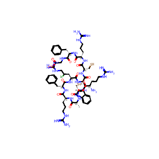 C[C@@H](NC(=O)[C@H](CS)NC(=O)[C@@H](N)CCCNC(=N)N)C(=O)N[C@@H](CCCNC(=N)N)C(=O)N[C@H](Cc1ccccc1)C(=O)N[C@@H](CC(Br)CNC(=N)N)C(=O)N[C@H](Cc1c[nH]c2ccccc12)C(=O)N[C@@H](CS)C(=O)N[C@@H](CCCNC(=N)N)C(=O)N[C@@H](Cc1ccccc1)C(=O)NCC(=O)O